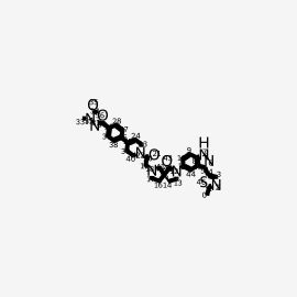 Cc1ncc(-c2n[nH]c3ccc(N4CC[C@]5(CCN(CC(=O)N6CC=C(c7ccc(-c8nn(C)c(=O)o8)cc7)CC6)C5)C4=O)cc23)s1